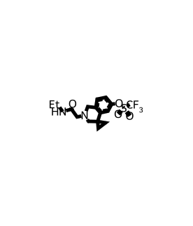 CCNC(=O)CN1Cc2ccc(OS(=O)(=O)C(F)(F)F)cc2C2(CC2)C1